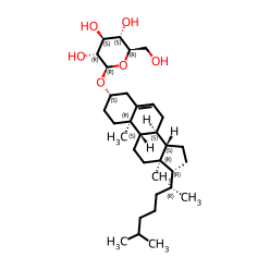 CC(C)CCC[C@@H](C)[C@H]1CC[C@H]2[C@@H]3CC=C4C[C@@H](O[C@@H]5O[C@H](CO)[C@@H](O)[C@H](O)[C@H]5O)CC[C@]4(C)[C@H]3CC[C@]12C